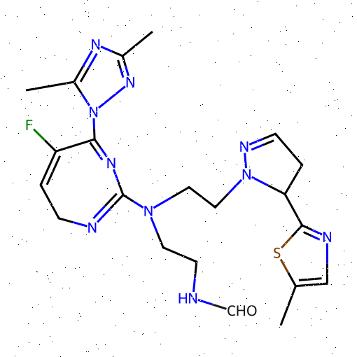 Cc1nc(C)n(C2=NC(N(CCNC=O)CCN3N=CCC3c3ncc(C)s3)=NCC=C2F)n1